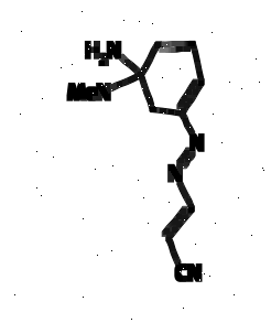 CNC1(N)C=CC=C(N=NC=CC#N)C1